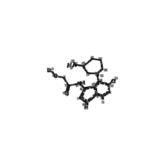 CCOCC(=O)Nc1c[nH]c2ncc(Cl)c(N3CCCC(N)C3)c12